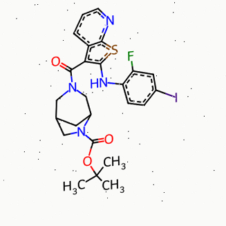 CC(C)(C)OC(=O)N1CC2CC1CN(C(=O)c1c(Nc3ccc(I)cc3F)sc3ncccc13)C2